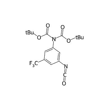 CC(C)(C)OC(=O)N(C(=O)OC(C)(C)C)c1cc(N=C=O)cc(C(F)(F)F)c1